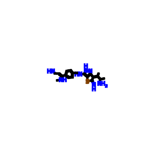 CN/C(=C\C=N)c1ccc(CNc2[nH]nc3c2SC(=N)/C3=C(/C)C(C)N)cc1